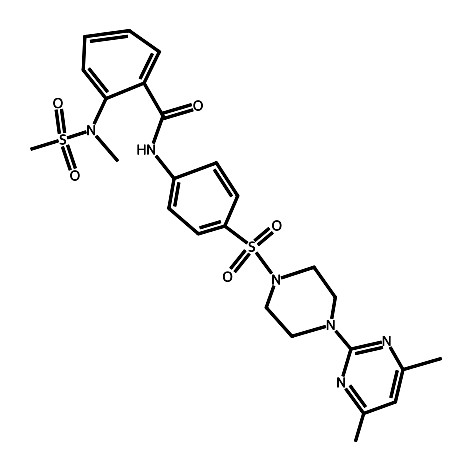 Cc1cc(C)nc(N2CCN(S(=O)(=O)c3ccc(NC(=O)c4ccccc4N(C)S(C)(=O)=O)cc3)CC2)n1